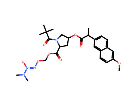 COc1ccc2cc(C(C)C(=O)OC3CC(C(=O)OCO/N=[N+](\[O-])N(C)C)N(C(=O)C(C)(C)C)C3)ccc2c1